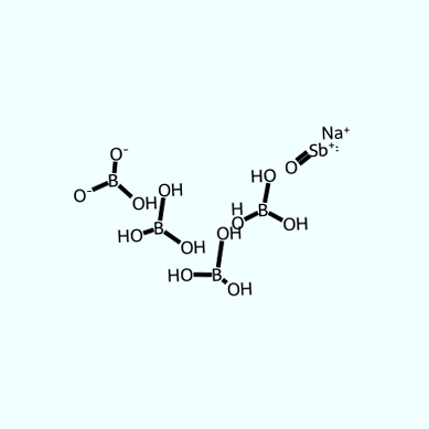 OB(O)O.OB(O)O.OB(O)O.[Na+].[O-]B([O-])O.[O]=[Sb+]